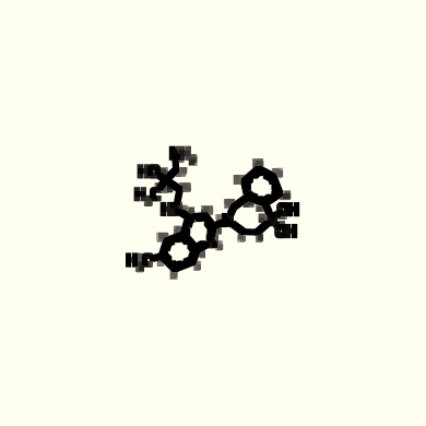 Cc1ccc2nc(N3CCS(O)(O)c4ccccc4C3)cc(NCC(C)(O)CN)c2c1